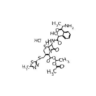 CC(=O)OC(C)OC(=O)C1=C(CSc2nnc(C)s2)CS[C@H]2C(NC(=O)C(O)c3ccccc3C(=O)[C@H](C)N)C(=O)N12.Cl